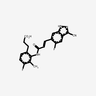 Cc1c(F)ccc(CCC(=O)O)c1NC(=O)/C=C/c1cc2[nH]nc(C#N)c2cc1F